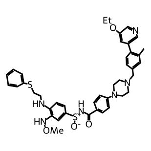 CCOc1cncc(-c2ccc(CN3CCN(c4ccc(C(=O)N[S+]([O-])c5ccc(NCCSc6ccccc6)c(NOC)c5)cc4)CC3)cc2C)c1